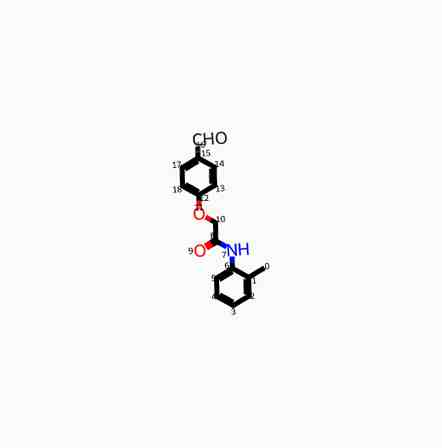 Cc1ccccc1NC(=O)COc1ccc(C=O)cc1